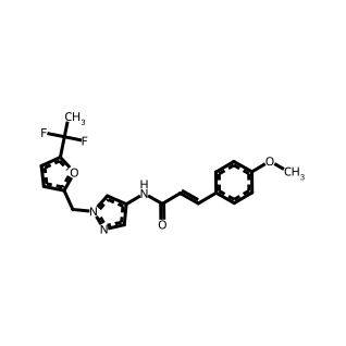 COc1ccc(/C=C/C(=O)Nc2cnn(Cc3ccc(C(C)(F)F)o3)c2)cc1